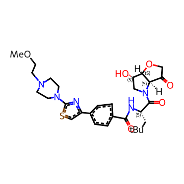 COCCN1CCN(c2nc(-c3ccc(C(=O)N[C@@H](CC(C)(C)C)C(=O)N4C[C@H](O)[C@H]5OCC(=O)[C@H]54)cc3)cs2)CC1